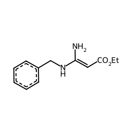 CCOC(=O)C=C(N)NCc1ccccc1